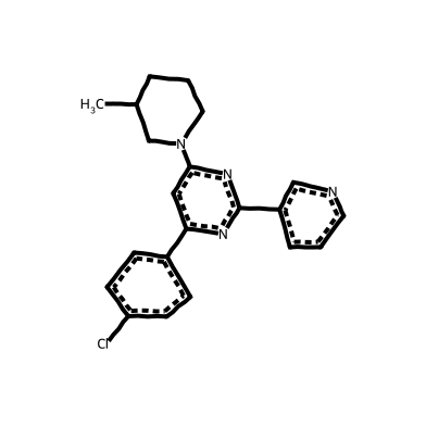 CC1CCCN(c2cc(-c3ccc(Cl)cc3)nc(-c3cccnc3)n2)C1